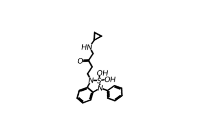 O=C(CCN1c2ccccc2N(c2ccccc2)S1(O)O)CNC1CC1